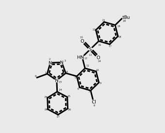 Cc1nnc(-c2cc(Cl)ccc2NS(=O)(=O)c2ccc(C(C)(C)C)cc2)n1-c1ccccc1